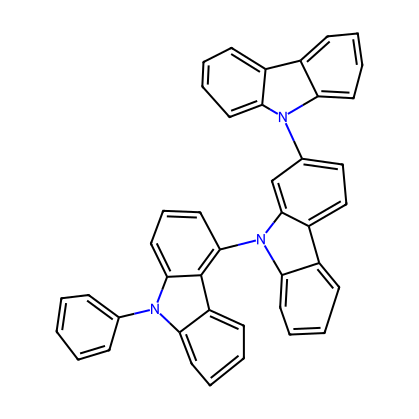 c1ccc(-n2c3ccccc3c3c(-n4c5ccccc5c5ccc(-n6c7ccccc7c7ccccc76)cc54)cccc32)cc1